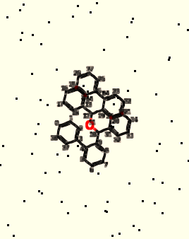 c1ccc(-c2ccccc2C(OC(c2ccccc2)c2ccccc2-c2ccccc2)c2ccccc2)cc1